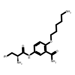 CC(C)C[C@H](N)C(=O)Nc1ccc(OCCCCCN)c(C(N)=O)c1